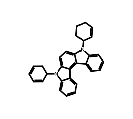 C1=CCC(n2c3ccccc3c3c4c5ccccc5n(C5C=CCCC5)c4ccc32)C=C1